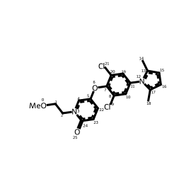 COCCn1cc(Oc2c(Cl)cc(-n3c(C)ccc3C)cc2Cl)ccc1=O